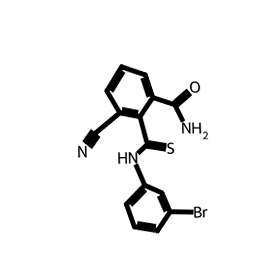 N#Cc1cccc(C(N)=O)c1C(=S)Nc1cccc(Br)c1